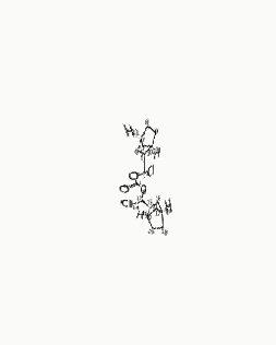 O=C(OC(Cl)[C@H]1C[C@H]2CC[C@@H]1C2)OC(Cl)[C@H]1C[C@H]2CC[C@@H]1C2